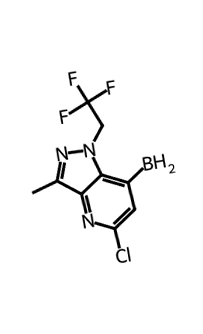 Bc1cc(Cl)nc2c(C)nn(CC(F)(F)F)c12